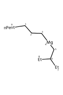 CCCCCCC[CH2][Mg][CH2]C(CC)CC